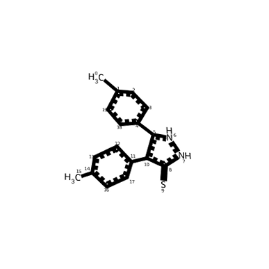 Cc1ccc(-c2[nH][nH]c(=S)c2-c2ccc(C)cc2)cc1